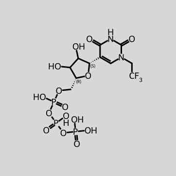 O=c1[nH]c(=O)n(CC(F)(F)F)cc1[C@@H]1O[C@H](COP(=O)(O)OP(=O)(O)OP(=O)(O)O)C(O)C1O